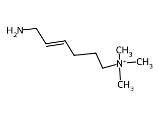 C[N+](C)(C)CCCC=CCN